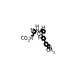 Cn1ncc2cc(-c3ccc(C[C@@]45CC[C@H](C[C@H]4C(=O)Nc4cncc(/C=C/C(=O)O)c4)C5)c(F)c3)ccc21